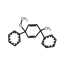 COC1(c2ccccc2)C=CC(C)(c2ccccc2)C=C1